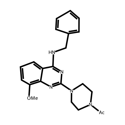 COc1cccc2c(NCc3ccccc3)nc(N3CCN(C(C)=O)CC3)nc12